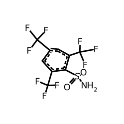 NS(=O)(=O)c1c(C(F)(F)F)cc(C(F)(F)F)cc1C(F)(F)F